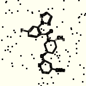 COc1ccnc(O[C@@H]2CC[C@@H](C)N(C(=O)c3ccc(F)cc3-n3nccn3)C2)c1